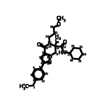 CCc1ccc(-c2cc3n(n2)CC(C)(C(=O)NC2CCCCC2)N(CCCOC)C3=O)cc1